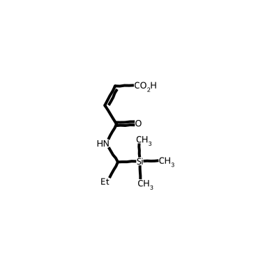 CCC(NC(=O)/C=C\C(=O)O)[Si](C)(C)C